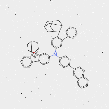 c1ccc2c(c1)-c1cc(N(c3ccc(-c4ccc5ccccc5c4)cc3)c3ccc4c(c3)C3(c5ccccc5-4)C4CC5CC(C4)CC3C5)ccc1C21C2CC3CC(C2)CC1C3